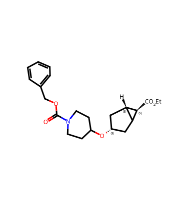 CCOC(=O)[C@H]1C2C[C@H](OC3CCN(C(=O)OCc4ccccc4)CC3)C[C@@H]21